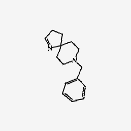 C1=NC2(CC1)CCN(Cc1ccccc1)CC2